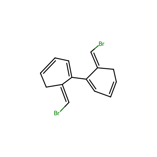 BrC=C1CC=CC=C1C1=CC=CCC1=CBr